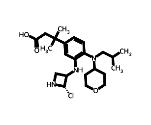 CC(C)CN(c1ccc(C(C)(C)CC(=O)O)cc1NC1CN[C@H]1Cl)C1CCOCC1